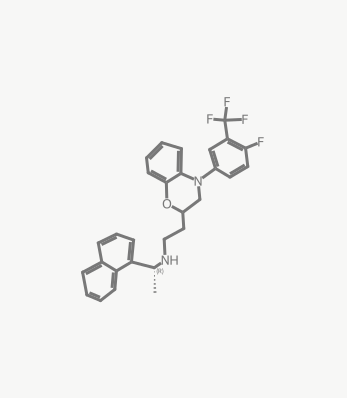 C[C@@H](NCCC1CN(c2ccc(F)c(C(F)(F)F)c2)c2ccccc2O1)c1cccc2ccccc12